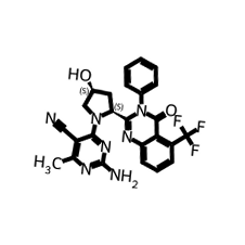 Cc1nc(N)nc(N2C[C@@H](O)C[C@H]2c2nc3cccc(C(F)(F)F)c3c(=O)n2-c2ccccc2)c1C#N